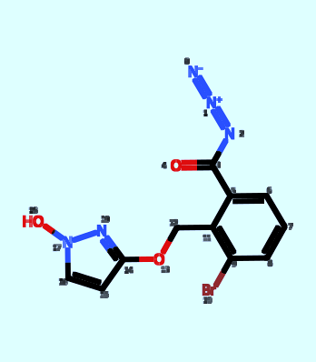 [N-]=[N+]=NC(=O)c1cccc(Br)c1COc1ccn(O)n1